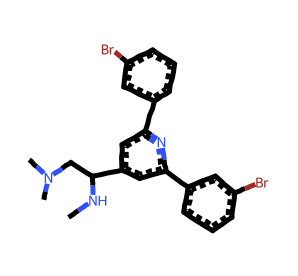 CNC(CN(C)C)c1cc(-c2cccc(Br)c2)nc(-c2cccc(Br)c2)c1